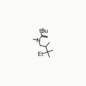 C=C(N(C)CC(C)C(C)(C)CC)C(C)(C)C